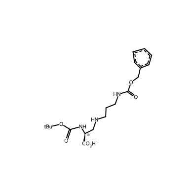 CC(C)(C)OC(=O)N[C@@H](CNCCCNC(=O)OCc1ccccc1)C(=O)O